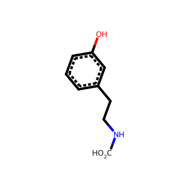 O=C(O)NCCc1cccc(O)c1